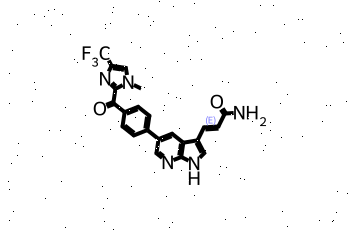 Cn1cc(C(F)(F)F)nc1C(=O)c1ccc(-c2cnc3[nH]cc(/C=C/C(N)=O)c3c2)cc1